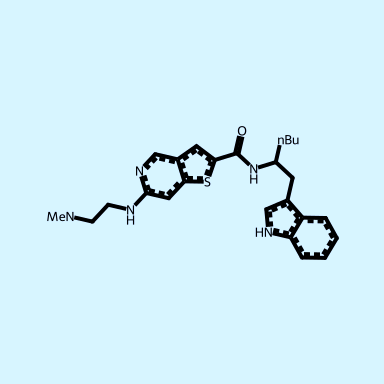 CCCCC(Cc1c[nH]c2ccccc12)NC(=O)c1cc2cnc(NCCNC)cc2s1